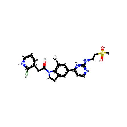 CS(=O)(=O)CCNc1nccc(-c2cc(C#N)c3c(c2)CCN3C(=O)Cc2cccnc2Cl)n1